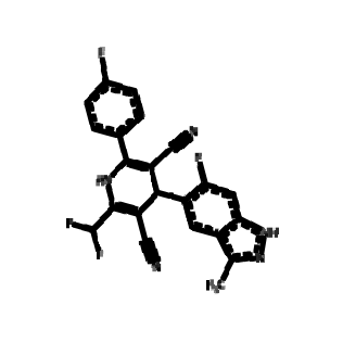 Cc1n[nH]c2cc(F)c(C3C(C#N)=C(c4ccc(F)cc4)NC(C(F)F)=C3C#N)cc12